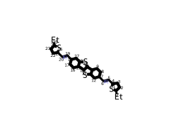 CCc1ccc(/C=C/c2ccc3c(c2)sc2c4ccc(/C=C/c5ccc(CC)s5)cc4sc32)s1